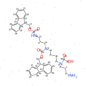 NCCCN(CCCCN(CCCNC(=O)OCC1c2ccccc2-c2ccccc21)C(=O)OCC1c2ccccc2-c2ccccc21)C(=O)O